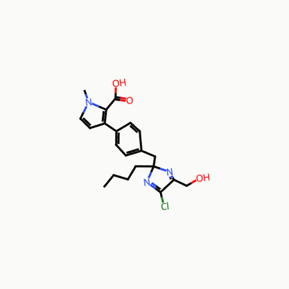 CCCCC1(Cc2ccc(-c3ccn(C)c3C(=O)O)cc2)N=C(Cl)C(CO)=N1